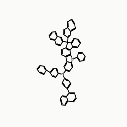 c1ccc(-c2ccc(N(c3ccc(-c4cccc5ccccc45)cc3)c3ccc4c(c3)c3ccc5c(c3n4-c3ccccc3)-c3ccccc3C5(c3ccc4ccccc4c3)c3ccc4ccccc4c3)cc2)cc1